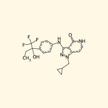 CCC(O)(c1ccc(Nc2nn(CC3CC3)c3cc[nH]c(=O)c23)cc1)C(F)(F)F